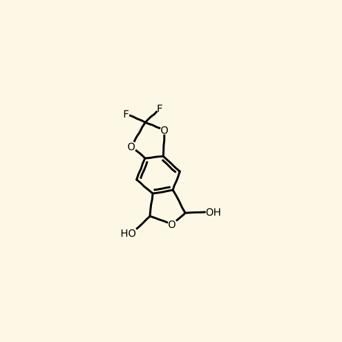 OC1OC(O)c2cc3c(cc21)OC(F)(F)O3